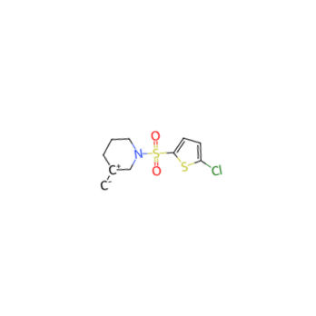 [CH2-][C+]1CCCN(S(=O)(=O)c2ccc(Cl)s2)C1